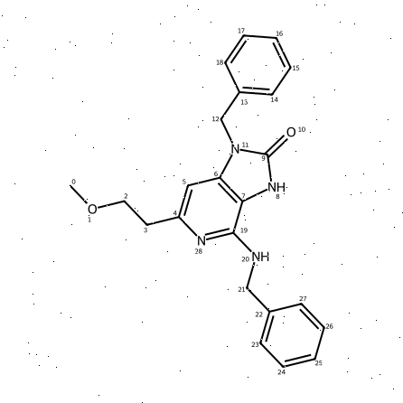 COCCc1cc2c([nH]c(=O)n2Cc2ccccc2)c(NCc2ccccc2)n1